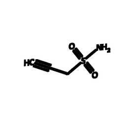 C#CCS(N)(=O)=O